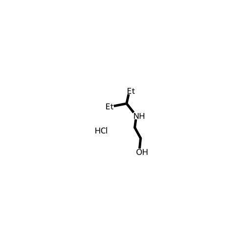 CCC(CC)NCCO.Cl